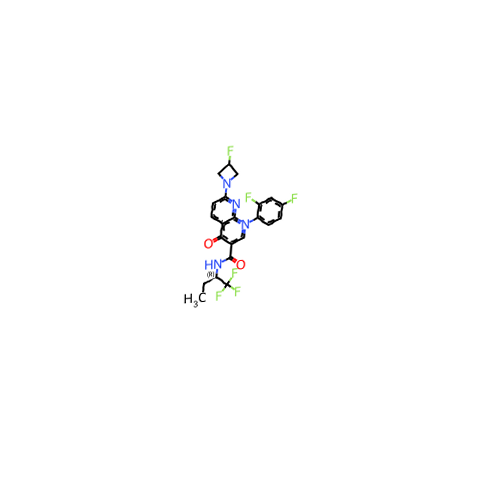 CC[C@@H](NC(=O)c1cn(-c2ccc(F)cc2F)c2nc(N3CC(F)C3)ccc2c1=O)C(F)(F)F